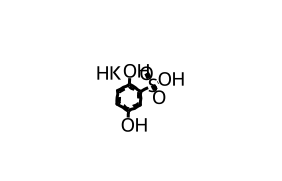 O=S(=O)(O)c1cc(O)ccc1O.[KH]